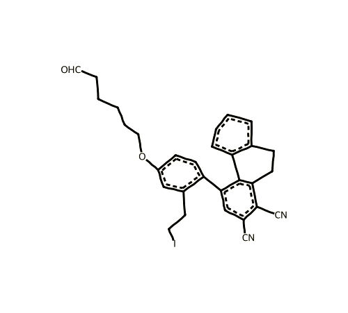 N#Cc1cc(-c2ccc(OCCCCCC=O)cc2CCI)c2c(c1C#N)CCc1ccccc1-2